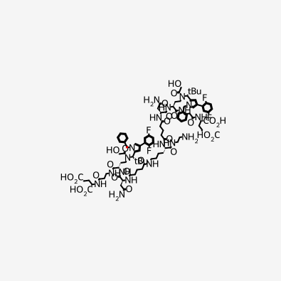 CC(C)(C)[C@H](c1cc(-c2cc(F)ccc2F)cn1Cc1ccccc1)N(CC[C@H](NC(=O)[C@H](CC(N)=O)NC(=O)CCCC(=O)NCCCC[C@H](NC(=O)CCCC(=O)N[C@@H](CC(N)=O)C(=O)N[C@@H](CCN(C(=O)CO)[C@@H](c1cc(-c2cc(F)ccc2F)cn1Cc1ccccc1)C(C)(C)C)C(=O)NCCC(=O)N[C@H](CCC(=O)O)C(=O)O)C(=O)NCCN)C(=O)NCCC(=O)N[C@H](CCC(=O)O)C(=O)O)C(=O)CO